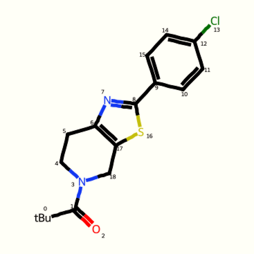 CC(C)(C)C(=O)N1CCc2nc(-c3ccc(Cl)cc3)sc2C1